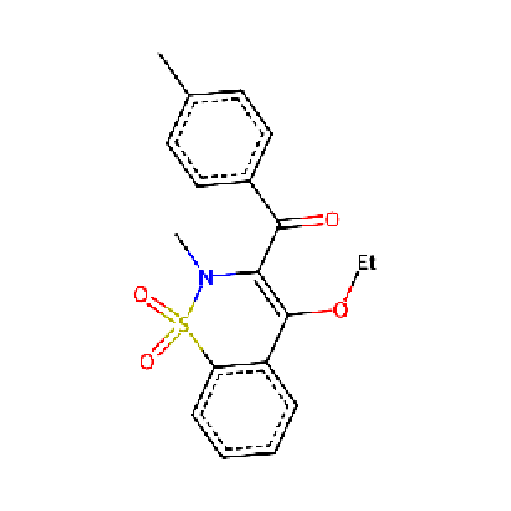 CCOC1=C(C(=O)c2ccc(C)cc2)N(C)S(=O)(=O)c2ccccc21